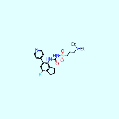 CCN(CC)CCCS(=O)(=O)NC(=O)Nc1c(-c2ccncc2)cc(F)c2c1CCC2